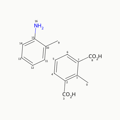 Cc1c(C(=O)O)cccc1C(=O)O.Cc1ccccc1N